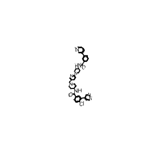 O=C(NC1CCN(Cc2ccc(N3CCC(NC(=O)c4cccc(-c5cccnc5)c4)CC3)nc2)CC1)c1ccc(Cl)c(-c2ccnnc2)c1